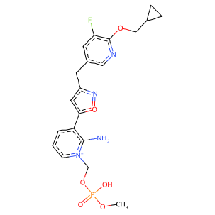 COP(=O)(O)OC[n+]1cccc(-c2cc(Cc3cnc(OCC4CC4)c(F)c3)no2)c1N